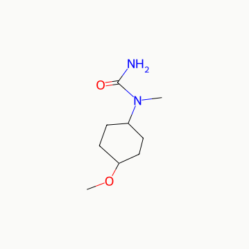 COC1CCC(N(C)C(N)=O)CC1